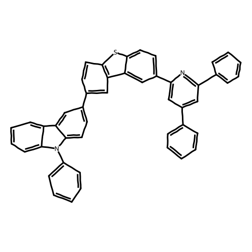 c1ccc(-c2cc(-c3ccccc3)nc(-c3ccc4sc5ccc(-c6ccc7c(c6)c6ccccc6n7-c6ccccc6)cc5c4c3)c2)cc1